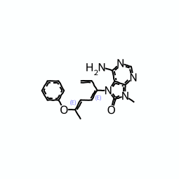 C=C/C(=C\C=C(/C)Oc1ccccc1)n1c(=O)n(C)c2ncnc(N)c21